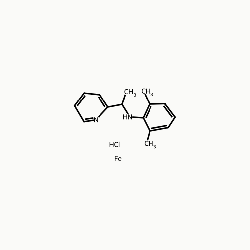 Cc1cccc(C)c1NC(C)c1ccccn1.Cl.[Fe]